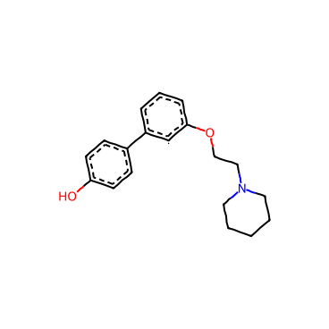 Oc1ccc(-c2[c]c(OCCN3CCCCC3)ccc2)cc1